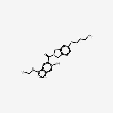 CCNc1n[nH]c2cc(O)c(C(=O)N3Cc4ccc(OCCCN)cc4C3)cc12